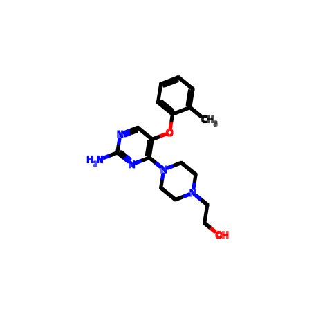 Cc1ccccc1Oc1cnc(N)nc1N1CCN(CCO)CC1